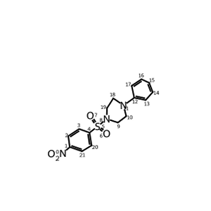 O=[N+]([O-])c1ccc(S(=O)(=O)N2CCN(c3ccccc3)CC2)cc1